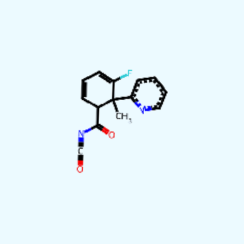 CC1(c2ccccn2)C(F)=CC=CC1C(=O)N=C=O